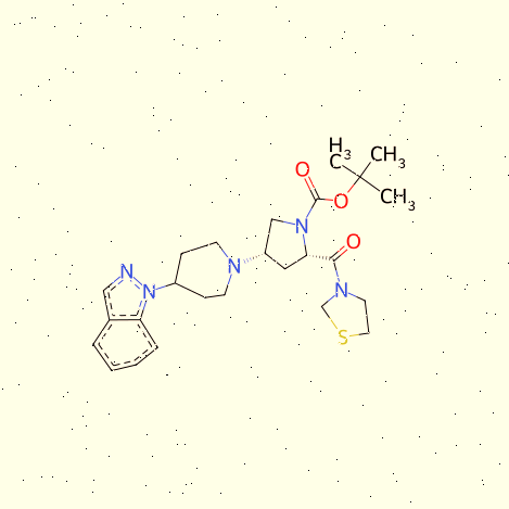 CC(C)(C)OC(=O)N1C[C@@H](N2CCC(n3ncc4ccccc43)CC2)C[C@H]1C(=O)N1CCSC1